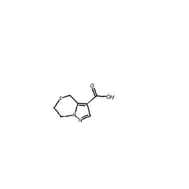 O=C(O)c1cnn2c1CSCC2